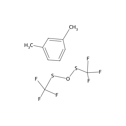 Cc1cccc(C)c1.FC(F)(F)SOSC(F)(F)F